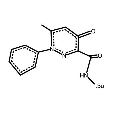 Cc1cc(=O)c(C(=O)NC(C)(C)C)nn1-c1ccccc1